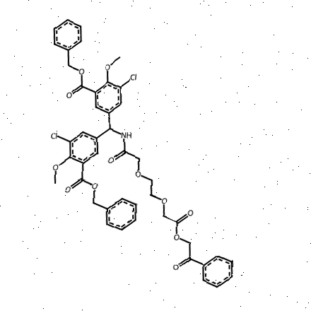 COc1c(Cl)cc(C(NC(=O)COCCOCC(=O)OCC(=O)c2ccccc2)c2cc(Cl)c(OC)c(C(=O)OCc3ccccc3)c2)cc1C(=O)OCc1ccccc1